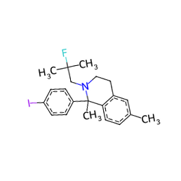 Cc1ccc2c(c1)CCN(CC(C)(C)F)C2(C)c1ccc(I)cc1